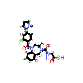 C[C@@H]1CN(C(=O)c2ccc(-n3cccn3)cc2F)c2ccccc2CN1C(=O)NCC(=O)O